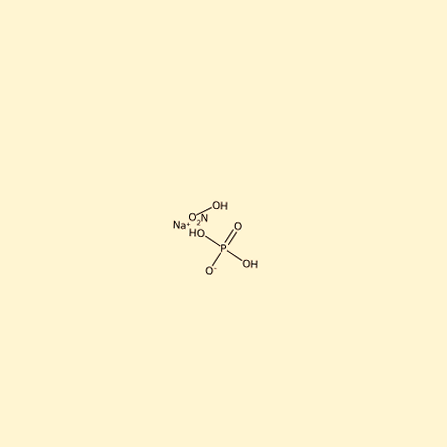 O=P([O-])(O)O.O=[N+]([O-])O.[Na+]